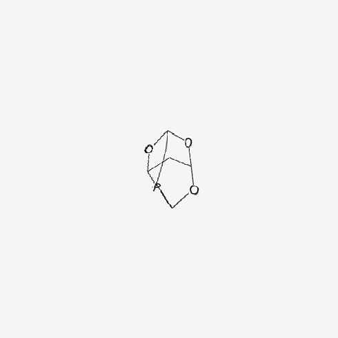 C1C2OC3CC(O2)[P]C1O3